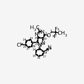 Cc1nc(OCC(C)(F)F)c2nn(-c3ccccc3C#N)c(-c3ccc(Cl)cc3)c2n1